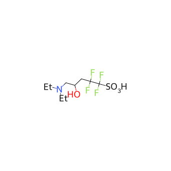 CCN(CC)CC(O)CC(F)(F)C(F)(F)S(=O)(=O)O